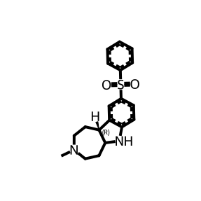 CN1CCC2Nc3ccc(S(=O)(=O)c4ccccc4)cc3[C@H]2CC1